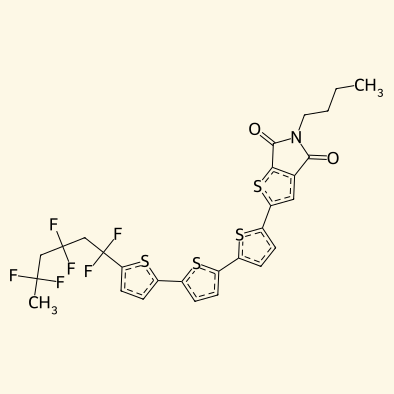 CCCCN1C(=O)c2cc(-c3ccc(-c4ccc(-c5ccc(C(F)(F)CC(F)(F)CC(C)(F)F)s5)s4)s3)sc2C1=O